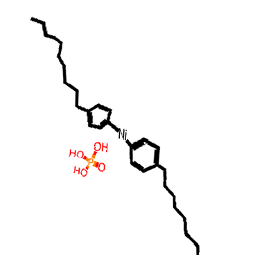 CCCCCCCCCc1cc[c]([Ni][c]2ccc(CCCCCCCCC)cc2)cc1.O=P(O)(O)O